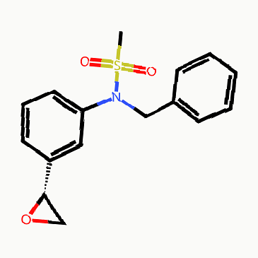 CS(=O)(=O)N(Cc1ccccc1)c1cccc([C@@H]2CO2)c1